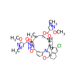 COc1nn(C)cc1C(=O)N[S@@]1(=O)=NC(=O)c2ccc3c(c2)N(C[C@@H]2CC[C@H]2[C@@H](OC(=O)c2cn(C)nc2OC)/C=C/C[C@H](C)C1)C[C@@]1(CCCc2cc(Cl)ccc21)CO3